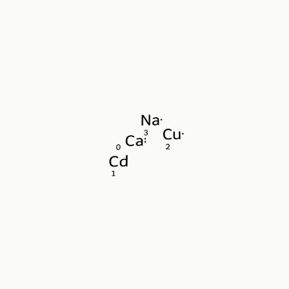 [Ca].[Cd].[Cu].[Na]